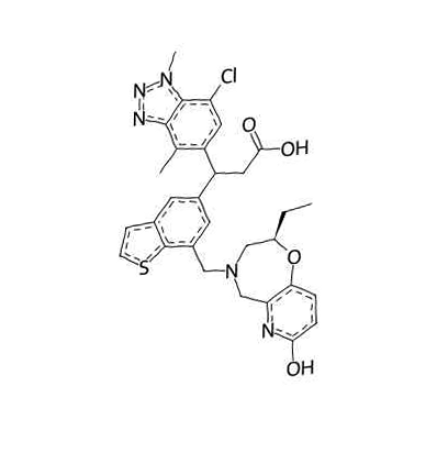 CC[C@@H]1CN(Cc2cc(C(CC(=O)O)c3cc(Cl)c4c(nnn4C)c3C)cc3ccsc23)Cc2nc(O)ccc2O1